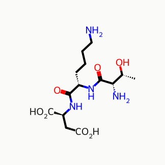 C[C@@H](O)[C@H](N)C(=O)N[C@@H](CCCCN)C(=O)N[C@@H](CC(=O)O)C(=O)O